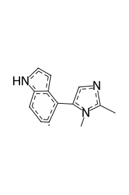 Cc1ncc(-c2[c]ccc3[nH]ccc23)n1C